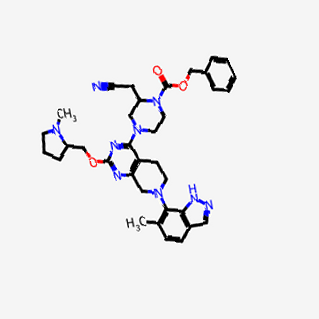 Cc1ccc2cn[nH]c2c1N1CCc2c(nc(OCC3CCCN3C)nc2N2CCN(C(=O)OCc3ccccc3)C(CC#N)C2)C1